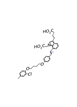 Cc1ccc(OCCCCOc2ccc(/C=C/c3cccc4c(CCCC(=O)O)cn(CC(=O)O)c34)cc2)c(Cl)c1